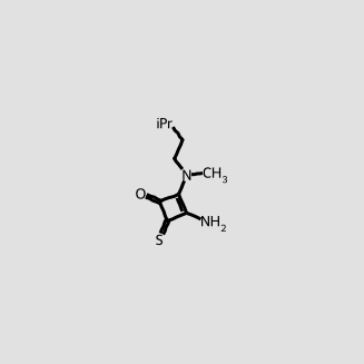 CC(C)CCN(C)c1c(N)c(=S)c1=O